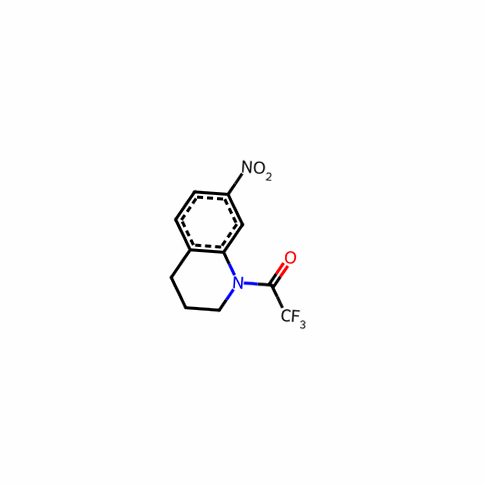 O=C(N1CCCc2ccc([N+](=O)[O-])cc21)C(F)(F)F